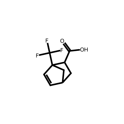 O=C(O)C1CC2C=CC1(C(F)(F)F)C2